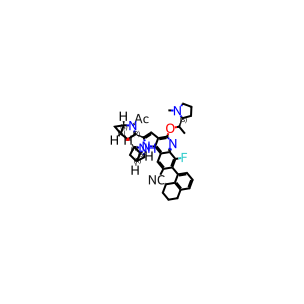 CC(=O)N1[C@@H](c2cc3c(OC(C)[C@@H]4CCCN4C)nc4c(F)c(-c5cccc6c5C(C#N)CCC6)c(C)cc4c3n2[C@H]2[C@H]3CN[C@@H]2C3)C[C@@H]2C[C@@H]21